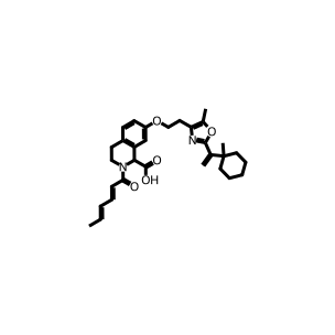 C=C(c1nc(CCOc2ccc3c(c2)C(C(=O)O)N(C(=O)C=CC=CC)CC3)c(C)o1)C1(C)CCCCC1